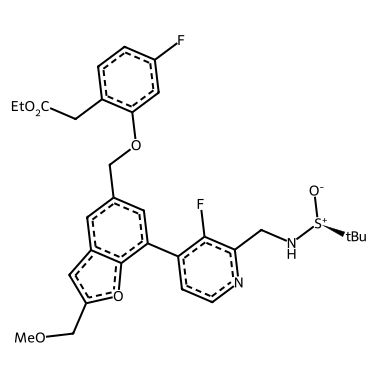 CCOC(=O)Cc1ccc(F)cc1OCc1cc(-c2ccnc(CN[S@@+]([O-])C(C)(C)C)c2F)c2oc(COC)cc2c1